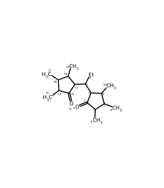 CCC(C1C(=O)C(C)C(C)C1C)C1C(=O)C(C)C(C)C1C